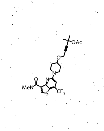 CNC(=O)c1csc2c(C(F)(F)F)cc(N3CCC(OCC#CC(C)(C)OC(C)=O)CC3)nc12